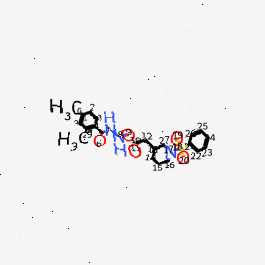 Cc1ccc(C(=O)NNOC(=O)CC2CCCN(S(=O)(=O)c3ccccc3)C2)c(C)c1